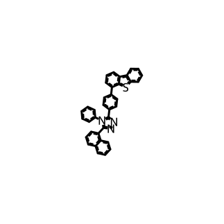 c1ccc(-n2c(-c3ccc(-c4cccc5c4sc4ccccc45)cc3)nnc2-c2cccc3ccccc23)cc1